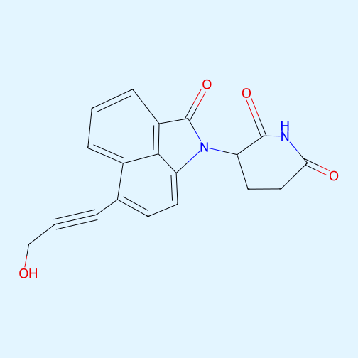 O=C1CCC(N2C(=O)c3cccc4c(C#CCO)ccc2c34)C(=O)N1